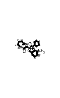 O=S(=O)(c1ccccc1)N(Cc1ccc(F)c(C(F)(F)F)c1)c1nc2ccccn2c1Cl